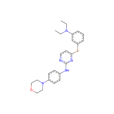 CCN(CC)c1cccc(Sc2ccnc(Nc3ccc(N4CCOCC4)cc3)n2)c1